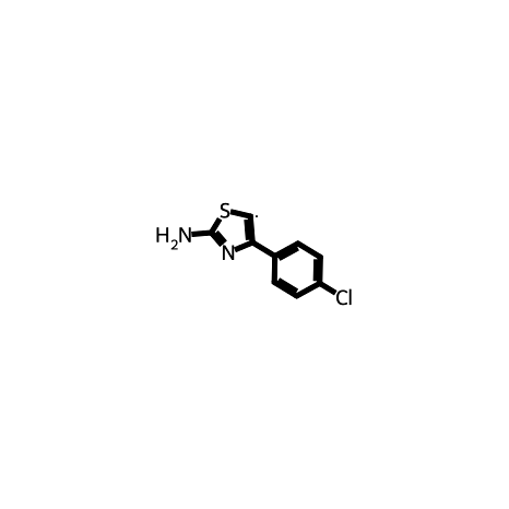 Nc1nc(-c2ccc(Cl)cc2)[c]s1